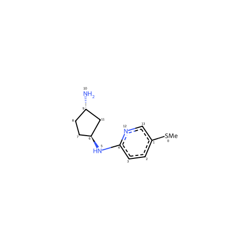 CSc1ccc(N[C@H]2CC[C@H](N)C2)nc1